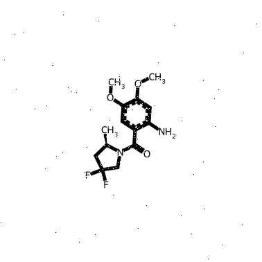 COc1cc(N)c(C(=O)N2CC(F)(F)C[C@H]2C)cc1OC